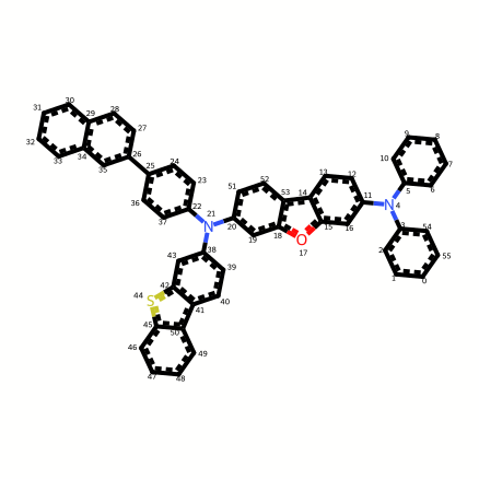 c1ccc(N(c2ccccc2)c2ccc3c(c2)oc2cc(N(c4ccc(-c5ccc6ccccc6c5)cc4)c4ccc5c(c4)sc4ccccc45)ccc23)cc1